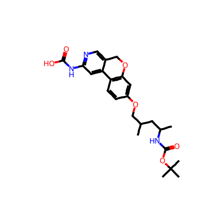 CC(COc1ccc2c(c1)OCc1cnc(NC(=O)O)cc1-2)CC(C)NC(=O)OC(C)(C)C